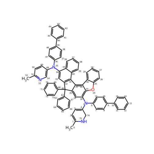 CC1=CC=C(N(c2ccc(-c3ccccc3)cc2)c2cc3c(c4c2oc2ccccc24)-c2c(cc(N(c4ccc(-c5ccccc5)cc4)c4ccc(C)nc4)c4ccccc24)C3(c2ccccc2)c2ccccc2)CN1